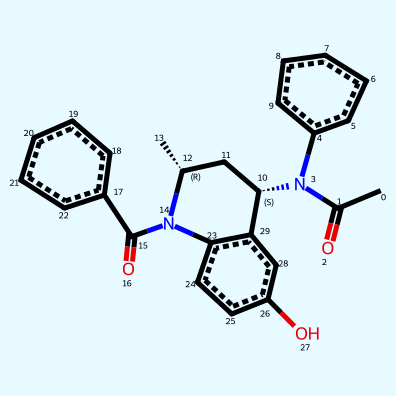 CC(=O)N(c1ccccc1)[C@H]1C[C@@H](C)N(C(=O)c2ccccc2)c2ccc(O)cc21